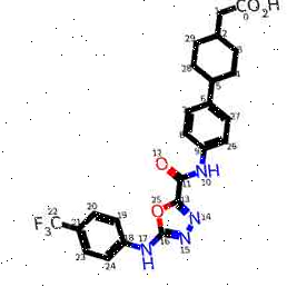 O=C(O)CC1CCC(c2ccc(NC(=O)c3nnc(Nc4ccc(C(F)(F)F)cc4)o3)cc2)CC1